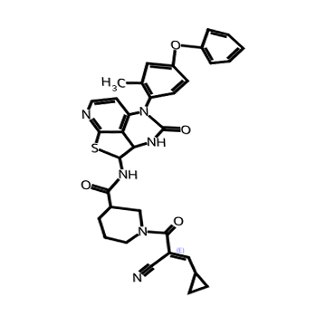 Cc1cc(Oc2ccccc2)ccc1N1C(=O)NC2c3c1ccnc3SC2NC(=O)C1CCCN(C(=O)/C(C#N)=C/C2CC2)C1